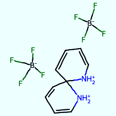 C1=C[NH2+]C2(C=C1)C=CC=C[NH2+]2.F[B-](F)(F)F.F[B-](F)(F)F